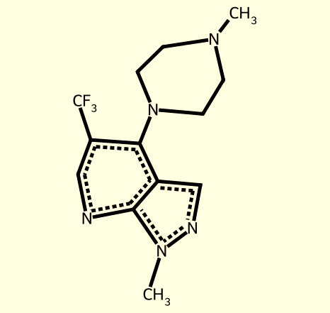 CN1CCN(c2c(C(F)(F)F)cnc3c2cnn3C)CC1